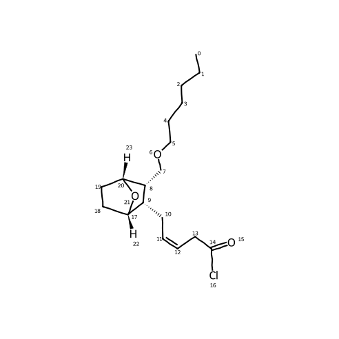 CCCCCCOC[C@@H]1[C@H](C/C=C\CC(=O)Cl)[C@@H]2CC[C@H]1O2